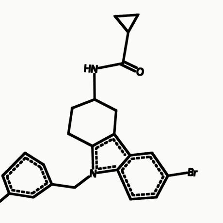 O=C(NC1CCc2c(c3cc(Br)ccc3n2Cc2cccc(F)c2)C1)C1CC1